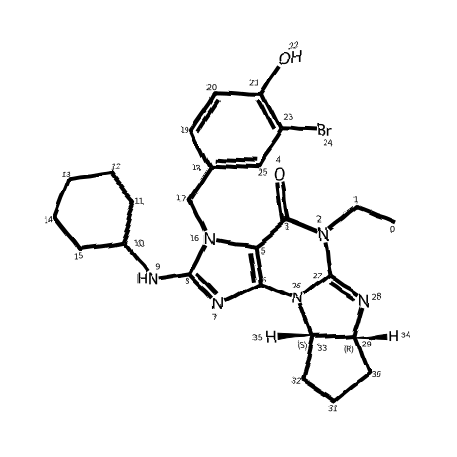 CCN1C(=O)c2c(nc(NC3CCCCC3)n2Cc2ccc(O)c(Br)c2)N2C1=N[C@@H]1CCC[C@@H]12